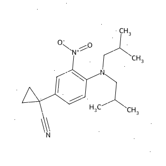 CC(C)CN(CC(C)C)c1ccc(C2(C#N)CC2)cc1[N+](=O)[O-]